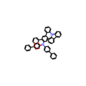 c1ccc(-c2ccc(N(c3ccc(-c4ccccc4)cc3)c3ccc(-c4ccccc4-n4c5ccccc5c5ccccc54)cc3-c3cccc4ccccc34)cc2)cc1